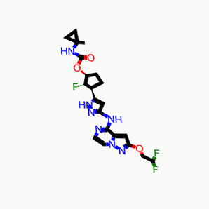 CC1(NC(=O)O[C@H]2CC[C@@H](c3cc(Nc4nccn5nc(OCC(F)F)cc45)n[nH]3)[C@@H]2F)CC1